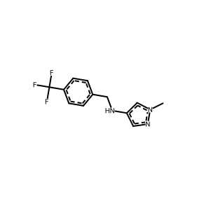 Cn1cc(NCc2ccc(C(F)(F)F)cc2)cn1